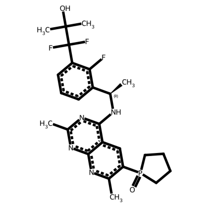 Cc1nc(N[C@H](C)c2cccc(C(F)(F)C(C)(C)O)c2F)c2cc(P3(=O)CCCC3)c(C)nc2n1